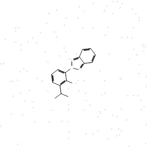 CC(C)c1cccc(-n2nc3ccccc3n2)c1O